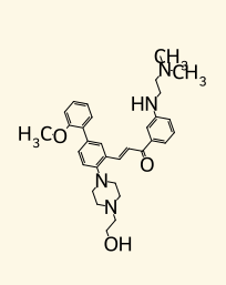 COc1ccccc1-c1ccc(N2CCN(CCO)CC2)c(C=CC(=O)c2cccc(NCCN(C)C)c2)c1